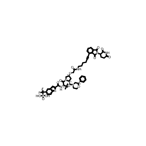 CC(C)(C)[C@H](NC(=O)c1cc2cc(C(F)(F)P(=O)(O)O)ccc2s1)C(=O)N1C[C@@H](OCC(=O)NCCCCC#Cc2cccc3c2C(=O)N(C2CCC(=O)NC2=O)C3=O)C[C@H]1C(=O)N1CCO[C@H](c2ccccc2)C1